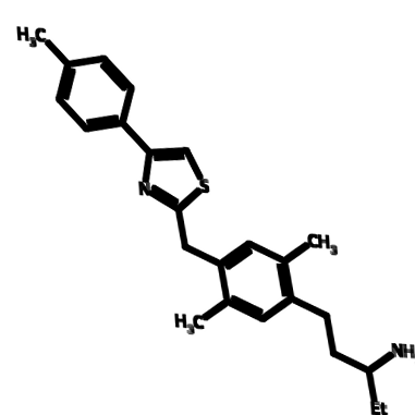 CCC(N)CCc1cc(C)c(Cc2nc(-c3ccc(C)cc3)cs2)cc1C